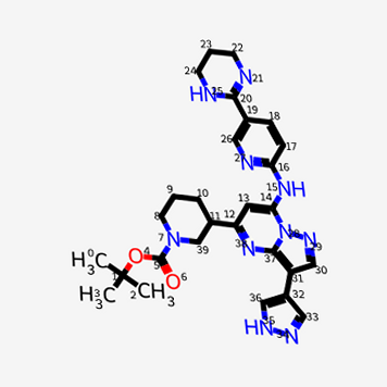 CC(C)(C)OC(=O)N1CCCC(c2cc(Nc3ccc(C4=NCCCN4)cn3)n3ncc(-c4cn[nH]c4)c3n2)C1